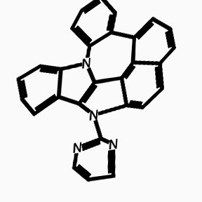 c1cnc(-n2c3ccc4cccc5c6ccccc6n6c7ccccc7c2c6c3c45)nc1